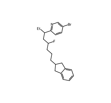 CCC(CC(F)CCCC1Cc2ccccc2C1)c1ccc(Br)cn1